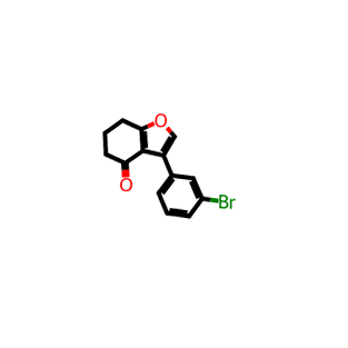 O=C1CCCc2occ(-c3cccc(Br)c3)c21